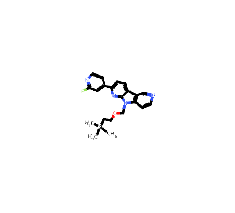 C[Si](C)(C)CCOCn1c2ccncc2c2ccc(-c3ccnc(F)c3)nc21